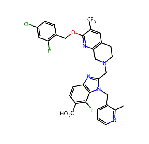 Cc1ncccc1Cn1c(CN2CCc3cc(C(F)(F)F)c(OCc4ccc(Cl)cc4F)nc3C2)nc2ccc(C(=O)O)c(F)c21